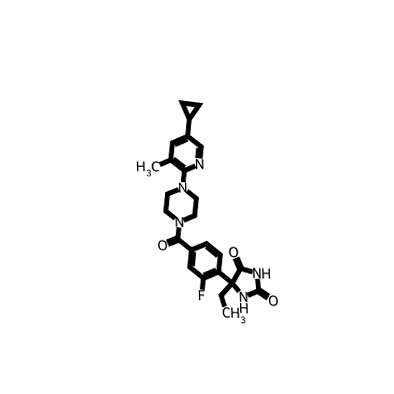 CCC1(c2ccc(C(=O)N3CCN(c4ncc(C5CC5)cc4C)CC3)cc2F)NC(=O)NC1=O